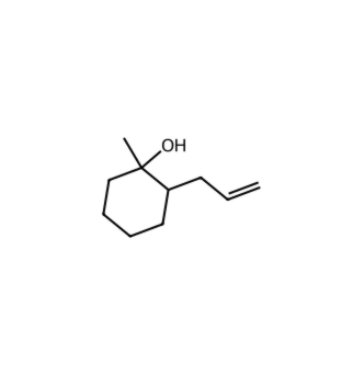 C=CCC1CCCCC1(C)O